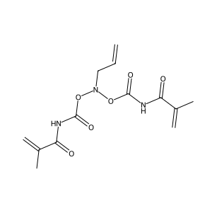 C=CCN(OC(=O)NC(=O)C(=C)C)OC(=O)NC(=O)C(=C)C